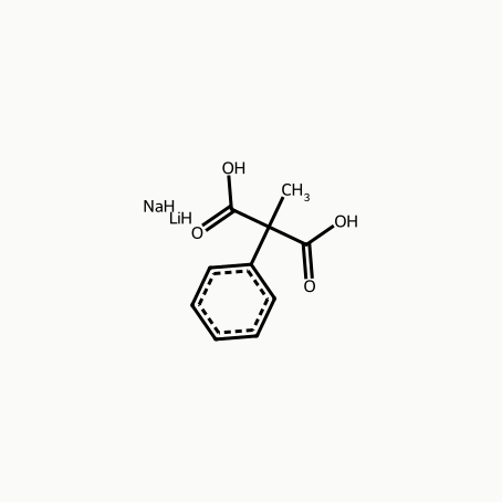 CC(C(=O)O)(C(=O)O)c1ccccc1.[LiH].[NaH]